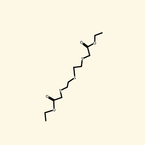 CCOC(=O)CSCCSCCSCC(=O)OCC